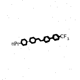 CCC[C@H]1CC[C@H](C2CCC(CCc3ccc(-c4ccc(C(F)(F)F)cc4)cc3)CC2)CC1